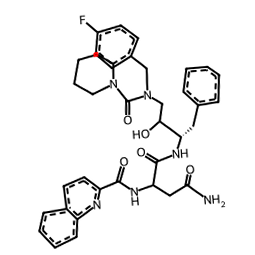 NC(=O)CC(NC(=O)c1ccc2ccccc2n1)C(=O)N[C@@H](Cc1ccccc1)C(O)CN(Cc1ccc(F)cc1)C(=O)N1CCCCC1